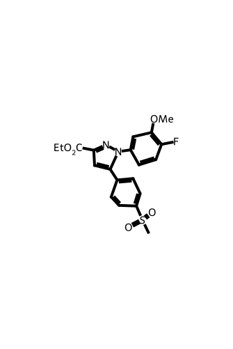 CCOC(=O)c1cc(-c2ccc(S(C)(=O)=O)cc2)n(-c2ccc(F)c(OC)c2)n1